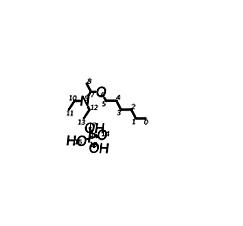 CCCCCCOC(C)N(CC)CC.O=P(O)(O)O